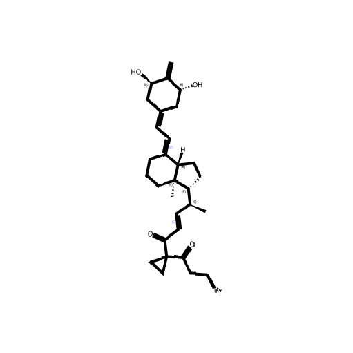 C=C1[C@H](O)CC(=C/C=C2\CCC[C@]3(C)[C@@H]([C@@H](C)/C=C/C(=O)C4(C(=O)CCC(C)C)CC4)CC[C@@H]23)C[C@H]1O